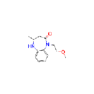 COCCN1C(=O)CC(C)Nc2ccccc21